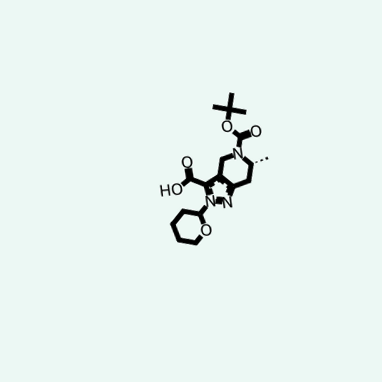 C[C@@H]1Cc2nn(C3CCCCO3)c(C(=O)O)c2CN1C(=O)OC(C)(C)C